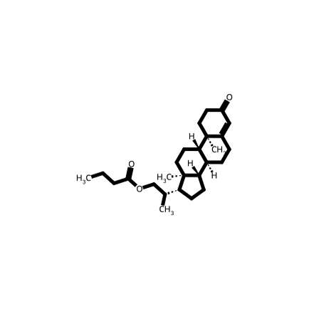 CCCC(=O)OCC(C)[C@H]1CC[C@H]2[C@@H]3CCC4=CC(=O)CC[C@]4(C)[C@H]3CC[C@]12C